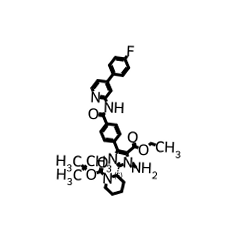 CCOC(=O)c1c(-c2ccc(C(=O)Nc3cc(-c4ccc(F)cc4)ccn3)cc2)nc([C@@H]2CCCCN2C(=O)OC(C)(C)C)n1N